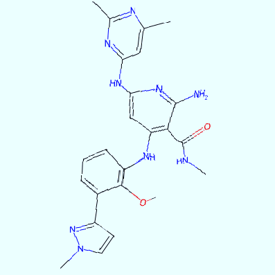 CNC(=O)c1c(Nc2cccc(-c3ccn(C)n3)c2OC)cc(Nc2cc(C)nc(C)n2)nc1N